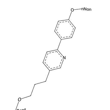 CCCCCCCCCOc1ccc(-c2ccc(CCCOCCCCC)cn2)cc1